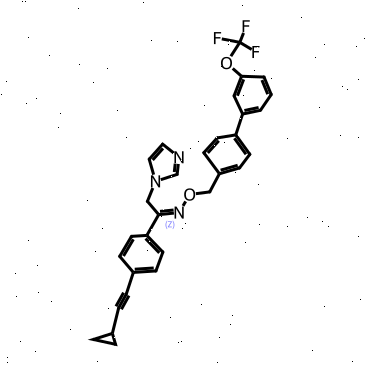 FC(F)(F)Oc1cccc(-c2ccc(CO/N=C(\Cn3ccnc3)c3ccc(C#CC4CC4)cc3)cc2)c1